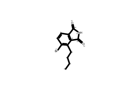 CCCCc1c(Br)ccc2c1C(=O)NC2=O